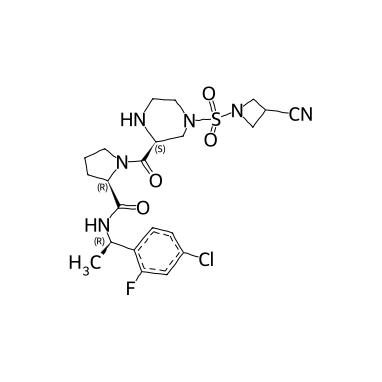 C[C@@H](NC(=O)[C@H]1CCCN1C(=O)[C@@H]1CN(S(=O)(=O)N2CC(C#N)C2)CCN1)c1ccc(Cl)cc1F